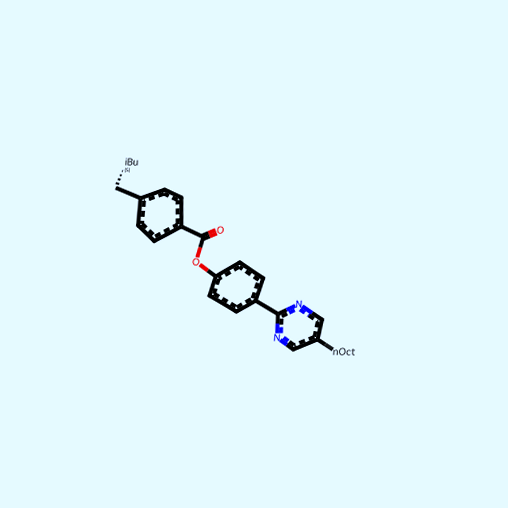 CCCCCCCCc1cnc(-c2ccc(OC(=O)c3ccc(C[C@@H](C)CC)cc3)cc2)nc1